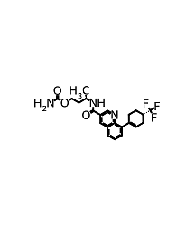 C[C@H](CCOC(N)=O)NC(=O)c1cnc2c(C3=CC[C@@H](C(F)(F)F)CC3)cccc2c1